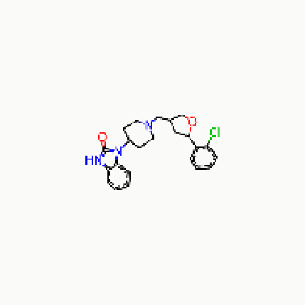 O=c1[nH]c2ccccc2n1C1CCN(CC2COC(c3ccccc3Cl)C2)CC1